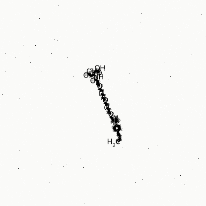 C=CC#Cc1ccc(-n2cc(COCCOCCOCCOCCOCCC(=O)NC(CC(=O)O)CC(=O)O)nn2)cc1